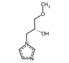 COC[C@H](O)Cn1ccnc1